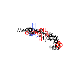 CCCCOP(=O)(OCCCC)Oc1ccc2c(c1)CCC1C2CCC2(C)C(OC(=O)CCC(O)C(O)CCC(=O)Nc3ccc(OC)c(C(N)=O)c3O)CCC12